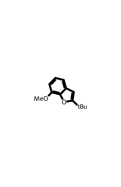 COc1cccc2cc(C(C)(C)C)oc12